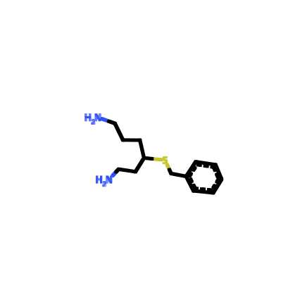 NCCCC(CCN)SCc1ccccc1